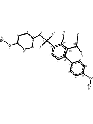 CCCCOC1CCC(OC(F)(F)c2ccc(-c3ccc(OCC)cc3)c(C(F)F)c2F)CO1